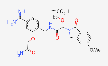 CC(=O)O.CCOC(C(=O)NCc1ccc(C(=N)N)cc1OCC(N)=O)N1Cc2cc(OC)ccc2C1=O